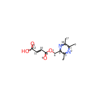 Cc1nc(C)c(COC(=O)/C=C/C(=O)O)nc1C